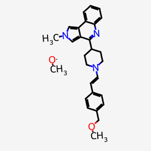 COCc1ccc(C=CN2CCC(c3nc4ccccc4c4cn(C)cc34)CC2)cc1.C[O]